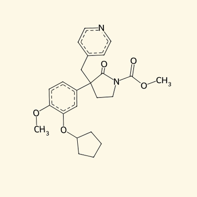 COC(=O)N1CCC(Cc2ccncc2)(c2ccc(OC)c(OC3CCCC3)c2)C1=O